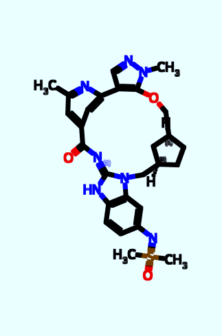 Cc1cc2cc(n1)-c1cnn(C)c1OC[C@H]1CC[C@H](C1)CN1/C(=N/C2=O)Nc2ccc(N=S(C)(C)=O)cc21